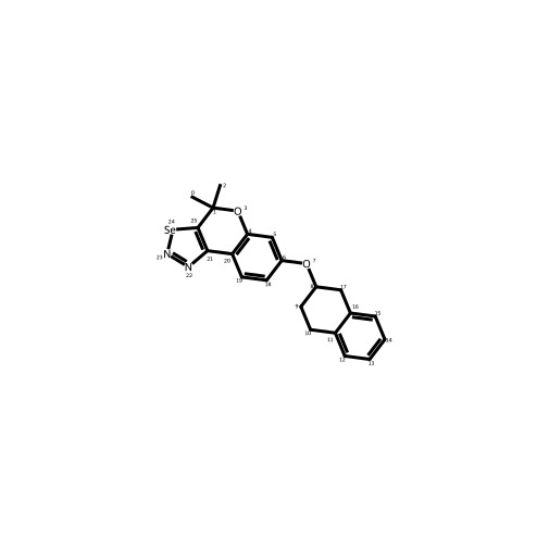 CC1(C)Oc2cc(OC3CCc4ccccc4C3)ccc2-c2nn[se]c21